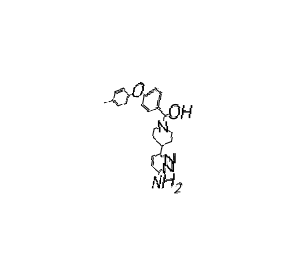 Cc1ccc(Oc2ccc(C(O)N3CCC(c4ccc(N)nn4)CC3)cc2)cc1